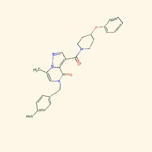 COc1ccc(Cn2cc(C)n3ncc(C(=O)N4CCC(Oc5ccccc5)CC4)c3c2=O)cc1